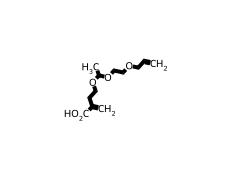 C=CCOCCOC(C)OCCC(=C)C(=O)O